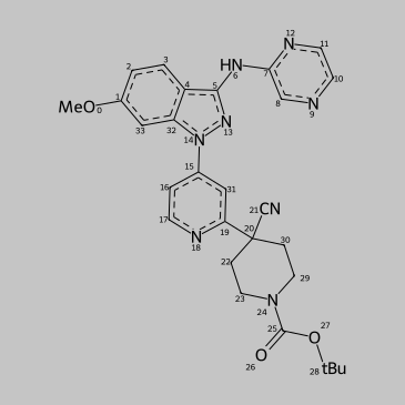 COc1ccc2c(Nc3cnccn3)nn(-c3ccnc(C4(C#N)CCN(C(=O)OC(C)(C)C)CC4)c3)c2c1